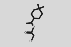 CC(OC(=O)CCl)C1CCC(C)(C)CC1